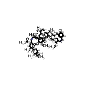 CC[C@@H](C(=O)[C@@H](C)[C@@H](O)[C@H](C)[C@@H]1O[C@@H]([C@@H](CC)C(=O)N2CCN(CC(/C=C\c3ccc(Cl)c(Cl)c3)C(=O)OC)CC2)CC[C@@H]1C)[C@H]1OO[C@@]2(CC[C@@](C)([C@H]3CC[C@](O)(CC)[C@H](C)O3)O2)[C@H](OC(C)=O)/C=C\[C@H](C)C[C@@H]1C